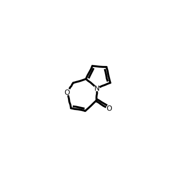 O=C1C=COCc2cccn21